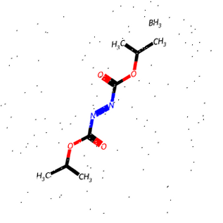 B.CC(C)OC(=O)N=NC(=O)OC(C)C